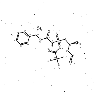 C=CC[C@H](C)CS(=O)(=NC(=O)C(F)(F)F)NC(=O)O[C@@H](C)c1ccccc1